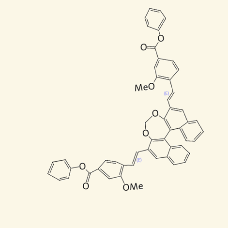 COc1cc(C(=O)Oc2ccccc2)ccc1/C=C/c1cc2ccccc2c2c1OCOc1c(/C=C/c3ccc(C(=O)Oc4ccccc4)cc3OC)cc3ccccc3c1-2